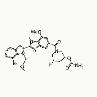 COc1cc(C(=O)N2C[C@H](F)C[C@@H](OC(N)=O)C2)cc2nc(-c3cc4cccc(Br)c4n3CC3CC3)n(C)c12